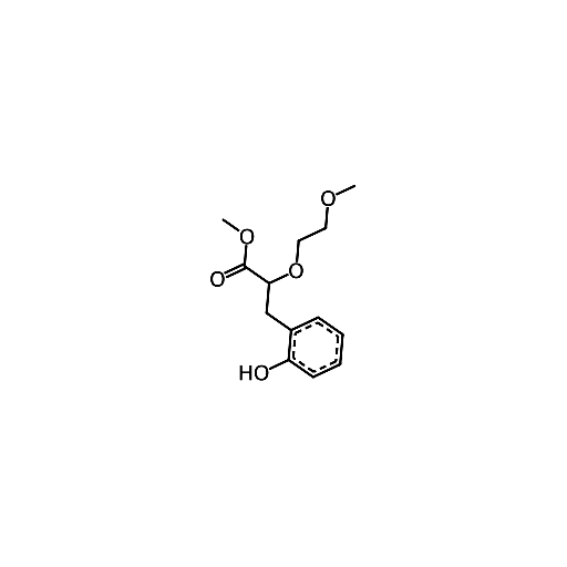 COCCOC(Cc1ccccc1O)C(=O)OC